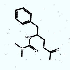 CC(=O)SCC(Cc1ccccc1)NC(=O)N(C)C